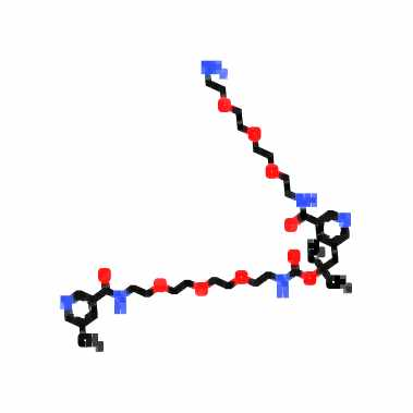 Cc1cncc(C(=O)NCCOCCOCCOCCNC(=O)OC(C)(C)Cc2cncc(C(=O)NCCOCCOCCOCCN)c2)c1